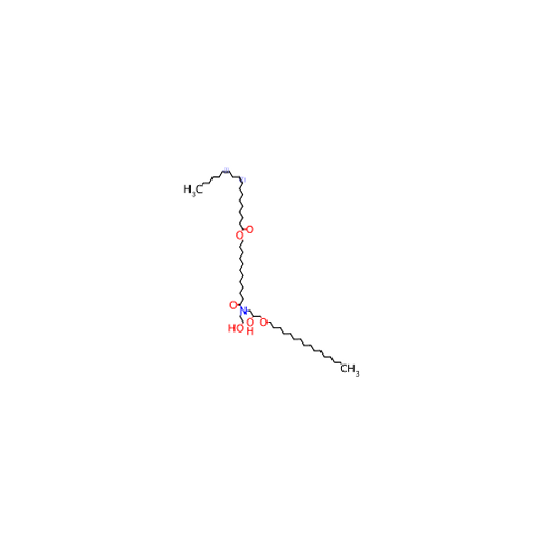 CCCCC/C=C\C/C=C\CCCCCCCC(=O)OCCCCCCCCCCCC(=O)N(CCO)CC(O)COCCCCCCCCCCCCCCCC